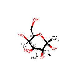 C[C@]1(O)[C@@](C)(O)[C@](C)(O)[C@@H](CO)O[C@]1(C)O